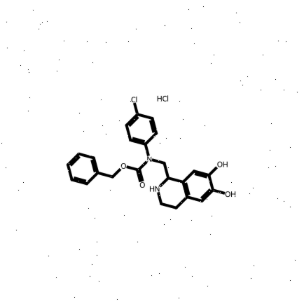 Cl.O=C(OCc1ccccc1)N(CC1NCCc2cc(O)c(O)cc21)c1ccc(Cl)cc1